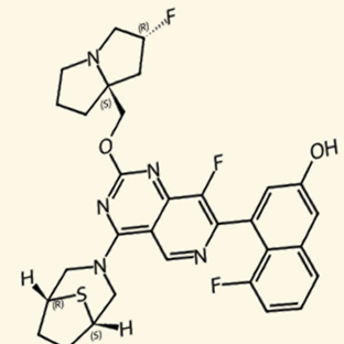 Oc1cc(-c2ncc3c(N4C[C@H]5CC[C@@H](C4)S5)nc(OC[C@@]45CCCN4C[C@H](F)C5)nc3c2F)c2c(F)cccc2c1